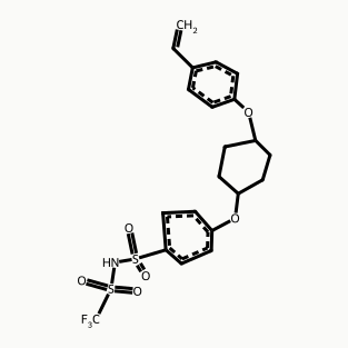 C=Cc1ccc(OC2CCC(Oc3ccc(S(=O)(=O)NS(=O)(=O)C(F)(F)F)cc3)CC2)cc1